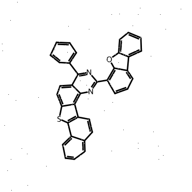 c1ccc(-c2nc(-c3cccc4c3oc3ccccc34)nc3c2ccc2sc4c5ccccc5ccc4c23)cc1